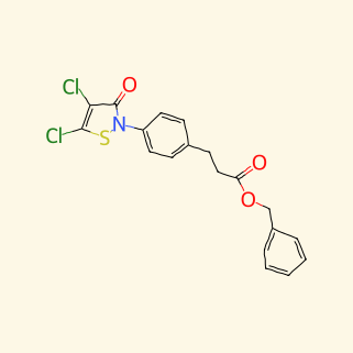 O=C(CCc1ccc(-n2sc(Cl)c(Cl)c2=O)cc1)OCc1ccccc1